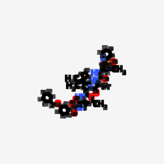 C=C[C@@H]1C[C@]1(NC(=O)[C@@H]1C[C@@]2(CN1C(=O)[C@@H](NC(=O)N[C@H](CN(C)S(=O)(=O)c1ccccn1)C(C)(C)C)C(C)C)C(C)(C)C21CCC1)C(=O)NS(=O)(=O)c1cccc(OCc2ccccc2)c1